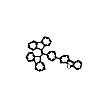 c1ccc2c(c1)C(=C(c1ccc(-c3ccc4c(c3)oc3ccccc34)cc1)C1c3ccccc3-c3ccccc31)c1ccccc1-2